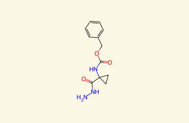 NNC(=O)C1(NC(=O)OCc2ccccc2)CC1